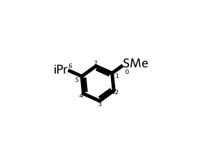 CSc1[c]ccc(C(C)C)c1